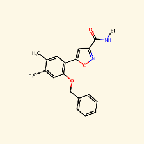 CCNC(=O)c1cc(-c2cc(C)c(C)cc2OCc2ccccc2)on1